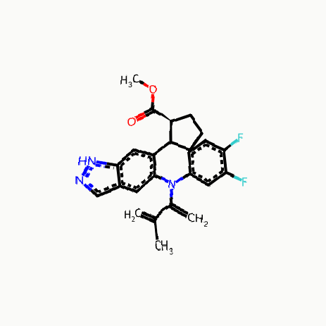 C=C(C)C(=C)N(c1ccc(F)c(F)c1)c1cc2cn[nH]c2cc1C1CCC[C@@H]1C(=O)OC